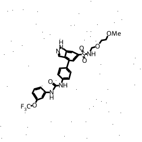 COCCOCNS(=O)(=O)c1cc(-c2ccc(NC(=O)Nc3cccc(OC(F)(F)F)c3)cc2)c2cn[nH]c2c1